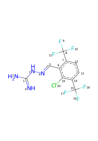 N=C(N)NN=Cc1c(C(F)(F)F)ccc(C(F)(F)F)c1Cl